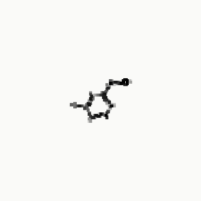 O=Pc1cccc(I)c1